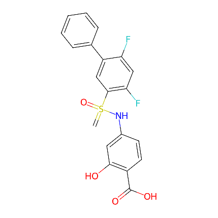 C=S(=O)(Nc1ccc(C(=O)O)c(O)c1)c1cc(-c2ccccc2)c(F)cc1F